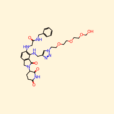 O=C(CNc1ccc2c(c1NCc1cn(CCOCCOCCOCO)nn1)C(=O)N(C1CCC(=O)NC1=O)C2)NCc1ccccc1